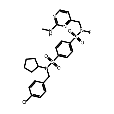 CNc1nccc(CN(F)S(=O)(=O)c2ccc(S(=O)(=O)N(Cc3ccc(Cl)cc3)C3CCCC3)cc2)n1